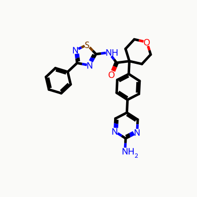 Nc1ncc(-c2ccc(C3(C(=O)Nc4nc(-c5ccccc5)ns4)CCOCC3)cc2)cn1